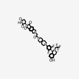 C[C@@H]1Cc2cc(O)ccc2[C@@H](c2c(F)cc(N3CCC4(CCN(C(=O)CN5Cc6cc7c(cc6C5)C(=O)N(C5CCC(=O)NC5=O)C7=O)CC4)CC3)cc2F)N1CC(F)(F)F